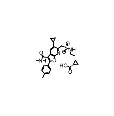 CNC(=O)c1c(-c2ccc(C)cc2)oc2nc(CS(=O)(=O)NCC[C@@H]3C[C@H]3C(=O)O)c(C3CC3)cc12